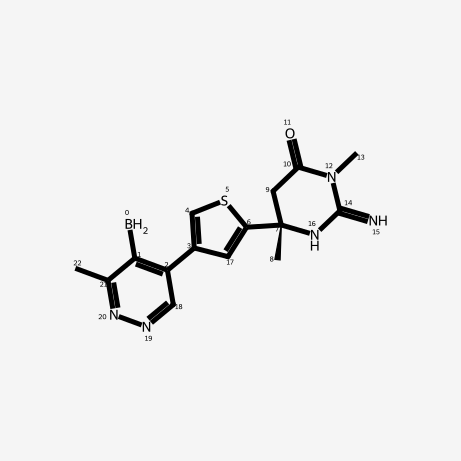 Bc1c(-c2csc([C@]3(C)CC(=O)N(C)C(=N)N3)c2)cnnc1C